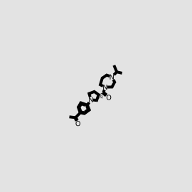 CC(=O)c1ccc(N2CC[C@H](C(=O)N3CCCN(C(C)C)CC3)C2)cc1